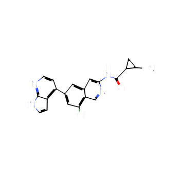 N#CC1CC1C(=O)Nc1cc2cc(-c3ccnc4[nH]ccc34)cc(Cl)c2cn1